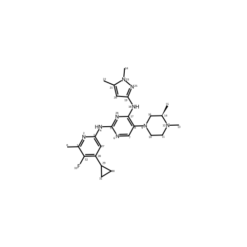 Cc1nc(Nc2ncc(N3CCN(C)[C@H](C)C3)c(Nc3cc(C)n(C)n3)n2)cc(C2CC2)c1F